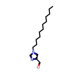 CCCCCCCCCCCCn1cnc(C=O)c1